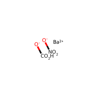 O=C([O-])O.O=[N+]([O-])[O-].[Ba+2]